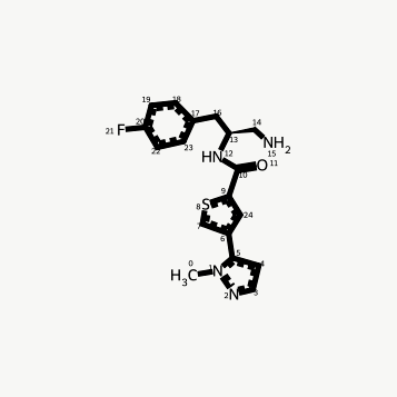 Cn1nccc1-c1csc(C(=O)N[C@H](CN)Cc2ccc(F)cc2)c1